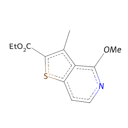 CCOC(=O)c1sc2ccnc(OC)c2c1C